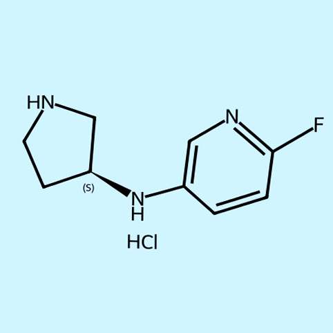 Cl.Fc1ccc(N[C@H]2CCNC2)cn1